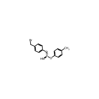 Cc1ccc(O[PH](=N)Oc2ccc(CBr)cc2)cc1